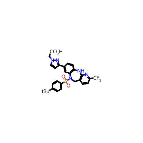 CC(C)(C)c1ccc(S(=O)(=O)N2Cc3ccc(C(F)(F)F)nc3Nc3ccc(-c4ccn(CC(=O)O)n4)cc32)cc1